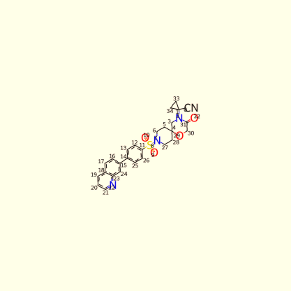 N#CC1(N2CC3(CCN(S(=O)(=O)c4ccc(-c5ccc6cccnc6c5)cc4)CC3)OCC2=O)CC1